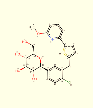 COc1cccc(-c2ccc(Cc3cc([C@@H]4O[C@H](CO)[C@@H](O)[C@H](O)[C@H]4O)ccc3Cl)s2)n1